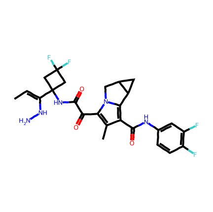 C/C=C(\NN)C1(NC(=O)C(=O)c2c(C)c(C(=O)Nc3ccc(F)c(F)c3)c3n2CC2CC32)CC(F)(F)C1